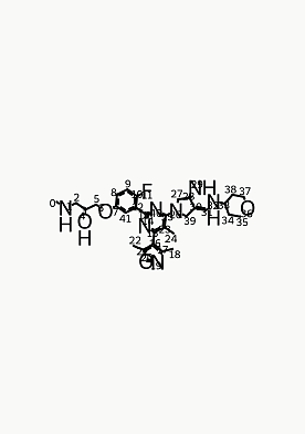 CNC[C@@H](O)COc1ccc(F)c(-c2nc(-c3c(C)noc3C)c(C)c(N3CC(=N)/C(=C\NC4CCOCC4)C3)n2)c1